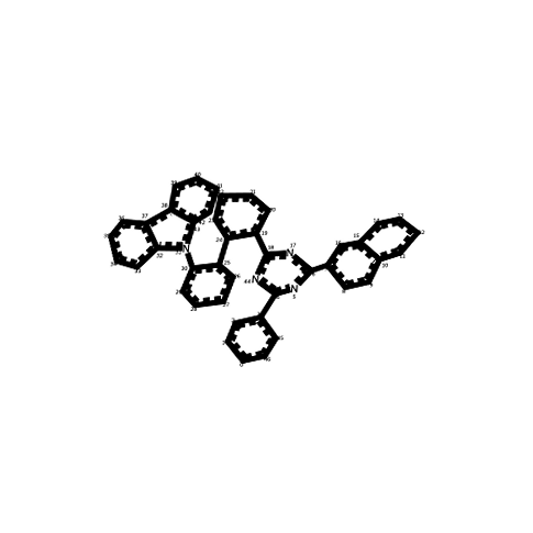 c1ccc(-c2nc(-c3ccc4ccccc4c3)nc(-c3ccccc3-c3ccccc3-n3c4ccccc4c4ccccc43)n2)cc1